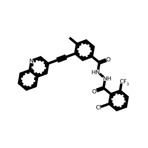 Cc1ccc(C(=O)NNC(=O)c2c(Cl)cccc2C(F)(F)F)cc1C#Cc1cnc2ccccc2c1